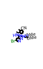 COC(CNc1nc(NC(C)c2cccc(C#N)c2C)c2cc(Br)cnc2n1)OC